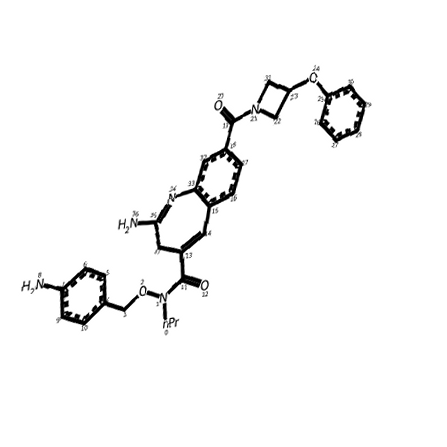 CCCN(OCc1ccc(N)cc1)C(=O)C1=Cc2ccc(C(=O)N3CC(Oc4ccccc4)C3)cc2N=C(N)C1